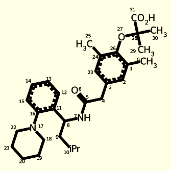 Cc1cc(CC(=O)NC(CC(C)C)c2ccccc2N2CCCCC2)cc(C)c1OC(C)(C)C(=O)O